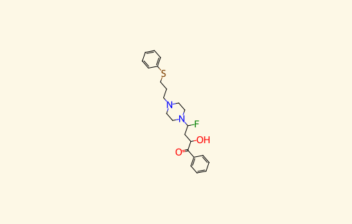 O=C(c1ccccc1)C(O)CC(F)N1CCN(CCCSc2ccccc2)CC1